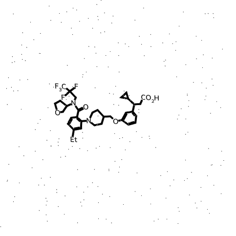 CCc1ccc(C(=O)N(CC(F)(F)C(F)(F)F)C2CCOC2)c(N2CCC(COc3cccc(C(CC(=O)O)C4CC4)c3)CC2)c1